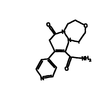 NC(=O)C1=C(c2ccncc2)CC(=O)N2CCOC[CH]N12